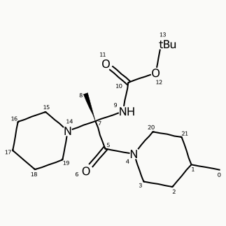 CC1CCN(C(=O)[C@@](C)(NC(=O)OC(C)(C)C)N2CCCCC2)CC1